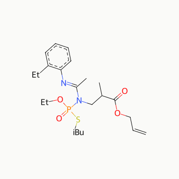 C=CCOC(=O)C(C)CN(C(C)=Nc1ccccc1CC)P(=O)(OCC)SC(C)CC